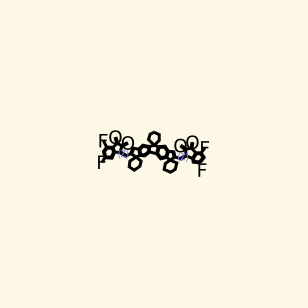 O=C1C(=O)c2c(F)cc(F)cc2/C1=C/C1=Cc2cc3c(cc2C12CCCCC2)-c1cc2c(cc1C31CCCCC1)C=C(/C=C1\C(=O)C(=O)c3c(F)cc(F)cc31)C21CCCCC1